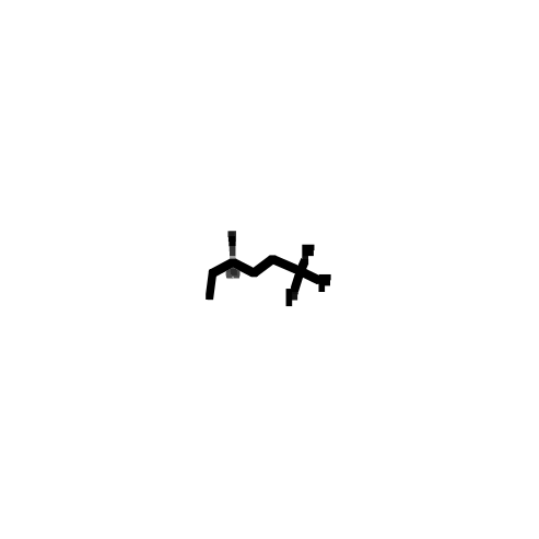 CC[C@H](C)CCC(F)(F)F